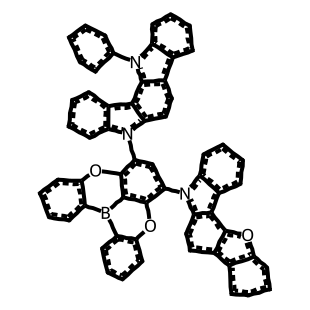 c1ccc(-n2c3ccccc3c3ccc4c(c5ccccc5n4-c4cc(-n5c6ccccc6c6c7oc8ccccc8c7ccc65)c5c6c4Oc4ccccc4B6c4ccccc4O5)c32)cc1